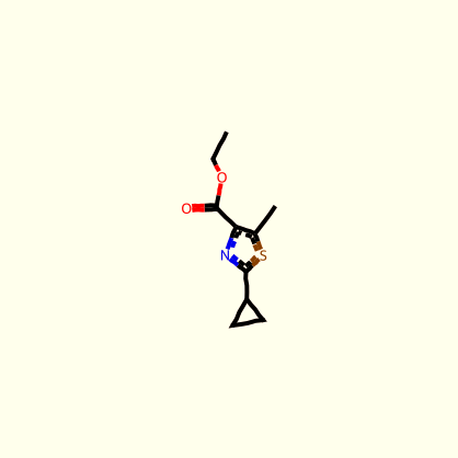 CCOC(=O)c1nc(C2CC2)sc1C